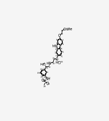 COCCOc1ccc2c(c1)[nH]c1cc(OCCNCC(O)c3cccc(NS(C)(=O)=O)c3)ccc12.Cl